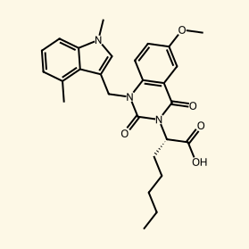 CCCCC[C@@H](C(=O)O)n1c(=O)c2cc(OC)ccc2n(Cc2cn(C)c3cccc(C)c23)c1=O